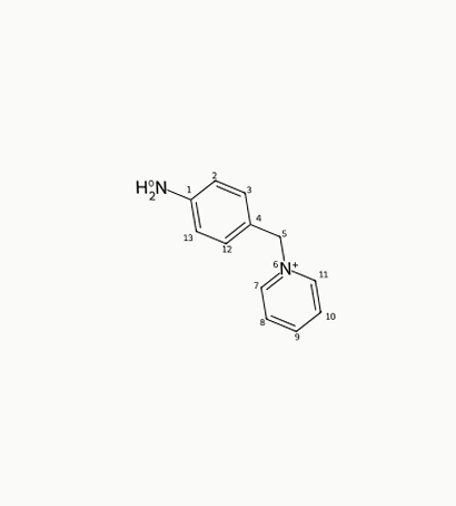 Nc1ccc(C[n+]2ccccc2)cc1